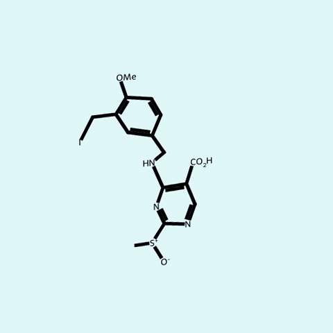 COc1ccc(CNc2nc([S+](C)[O-])ncc2C(=O)O)cc1CI